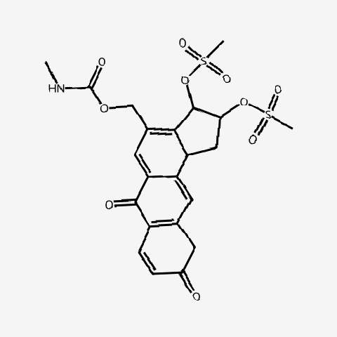 CNC(=O)OCC1=C2C(CC(OS(C)(=O)=O)C2OS(C)(=O)=O)C2=CC3=C(C=CC(=O)C3)C(=O)C2=C1